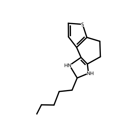 CCCCCC1NC2=C(N1)c1ccsc1CC2